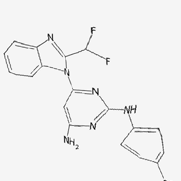 Nc1cc(-n2c(C(F)F)nc3ccccc32)nc(Nc2ccc(C(F)(F)F)cc2)n1